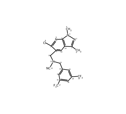 Cc1nn(C)c2nc(Cl)c(CN(C#N)Cc3cc(C(F)(F)F)cc(C(F)(F)F)c3)cc12